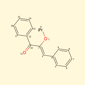 CC(C)OC(=Cc1ccccc1)C(=O)c1ccccc1